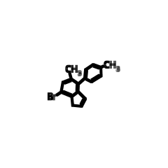 Cc1ccc(-c2c(C)cc(Br)c3c2C=CC3)cc1